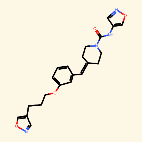 O=C(Nc1cnoc1)N1CCC(=Cc2cccc(OCCCc3cnoc3)c2)CC1